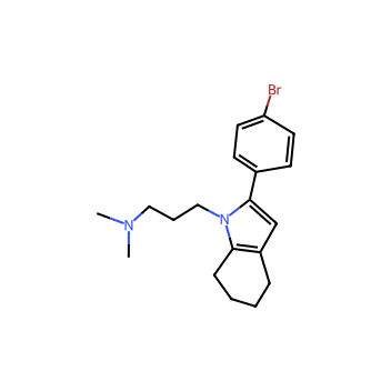 CN(C)CCCn1c(-c2ccc(Br)cc2)cc2c1CCCC2